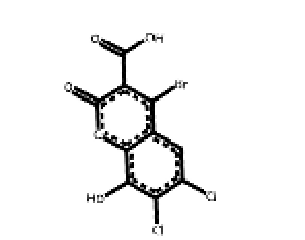 O=C(O)c1c(Br)c2cc(Cl)c(Cl)c(O)c2oc1=O